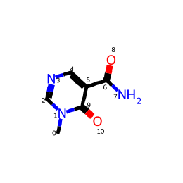 Cn1cncc(C(N)=O)c1=O